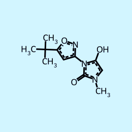 Cn1cc(O)n(-c2cc(C(C)(C)C)on2)c1=O